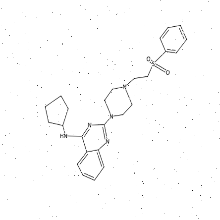 O=S(=O)(CCN1CCN(c2nc(NC3CCCC3)c3ccccc3n2)CC1)c1ccccc1